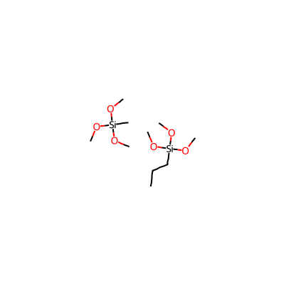 CCC[Si](OC)(OC)OC.CO[Si](C)(OC)OC